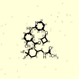 CC(=O)NCC1CCC(F)(F)CN1C(=O)c1nc(Nc2cc(OC3CCC3)ccn2)ccc1C